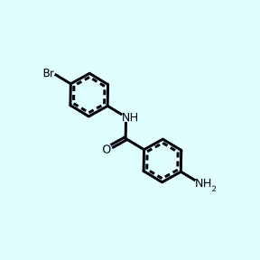 Nc1ccc(C(=O)Nc2ccc(Br)cc2)cc1